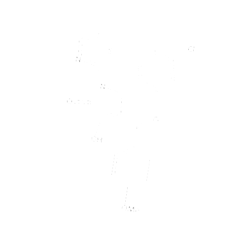 COc1ccc(C(=O)C2=C(O)C(=O)N(c3nccs3)C2c2ccc(Cl)cc2)cc1C